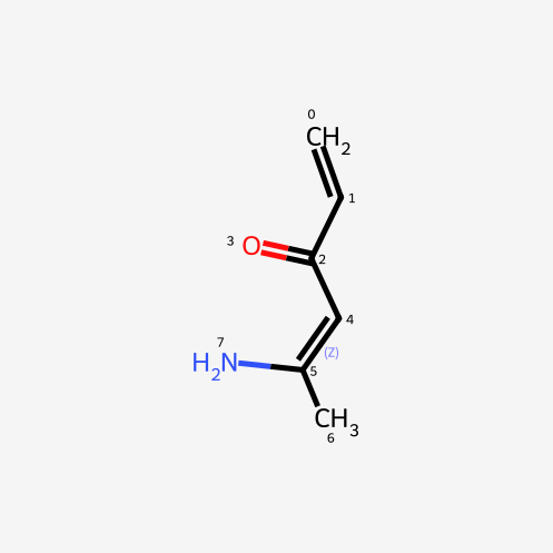 C=CC(=O)/C=C(/C)N